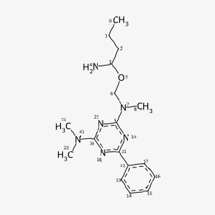 CCCC(N)OCN(C)c1nc(-c2ccccc2)nc(N(C)C)n1